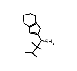 CC(C)C(C)(C)C([SiH3])C1=CC2=C([CH]1)CCCC2